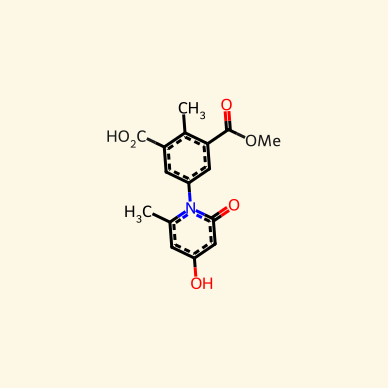 COC(=O)c1cc(-n2c(C)cc(O)cc2=O)cc(C(=O)O)c1C